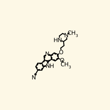 COc1cc2c(cc1OCCC1CN(C)CCN1)ncc1c3ccc(C#N)cc3[nH]c21